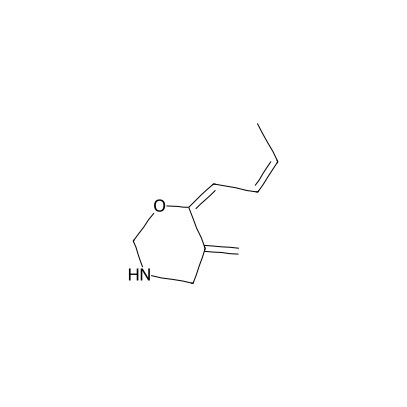 C=C1CNCO/C1=C/C=C\C